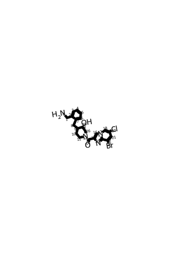 NCc1ccccc1CC1CCN(C(=O)c2cn3cc(Cl)cc(Br)c3n2)C[C@H]1O